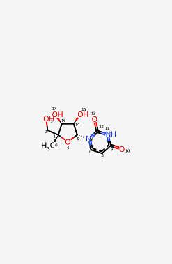 C[C@]1(CO)O[C@@H](n2ccc(=O)[nH]c2=O)[C@H](O)[C@@H]1O